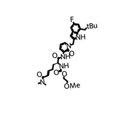 COCCOC(=O)N[C@@H](CC/C=C/C(=O)N(C)C)C(=O)Nc1cccn(Cc2cc3cc(F)cc(CC(C)(C)C)c3[nH]2)c1=O